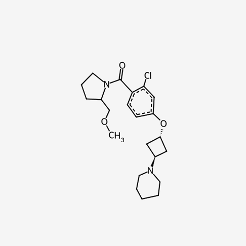 COCC1CCCN1C(=O)c1ccc(O[C@H]2C[C@H](N3CCCCC3)C2)cc1Cl